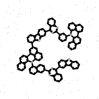 c1cc(-c2nc(-c3ccc4c(c3)oc3c(-c5cc6c7c(cccc7c5)N(c5cccc7cc(-c8nc(-c9ccc%10oc%11ccccc%11c%10c9)c9ccccc9n8)ccc57)c5c-6ccc6ccccc56)cccc34)c3ccccc3n2)cc(N2c3c(ccc4ccccc34)-c3cccc4cccc2c34)c1